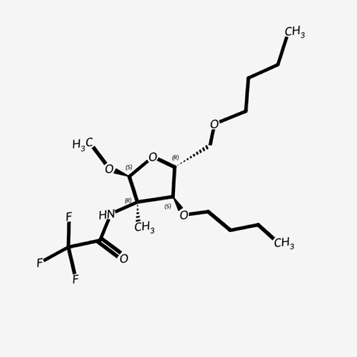 CCCCOC[C@H]1O[C@H](OC)[C@](C)(NC(=O)C(F)(F)F)[C@@H]1OCCCC